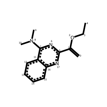 C=C(OCC)c1nc(N(C)C)c2ccccc2n1